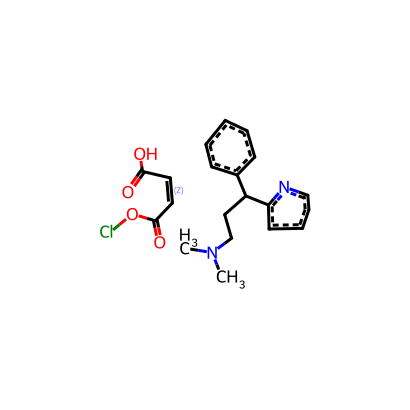 CN(C)CCC(c1ccccc1)c1ccccn1.O=C(O)/C=C\C(=O)OCl